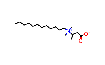 CCCCCCCCCCCC[N+](C)(C)C(C)CC(=O)[O-]